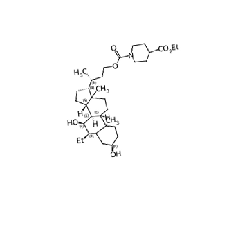 CCOC(=O)C1CCN(C(=O)OCC[C@@H](C)[C@H]2CC[C@H]3[C@@H]4[C@H](O)[C@H](CC)C5C[C@H](O)CCC5(C)[C@H]4CCC23C)CC1